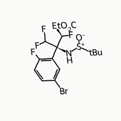 CCOC(=O)[C@@H](F)[C@](N[S+]([O-])C(C)(C)C)(c1cc(Br)ccc1F)C(F)F